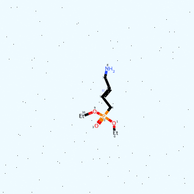 CCOP(=O)(C/C=C/CN)OCC